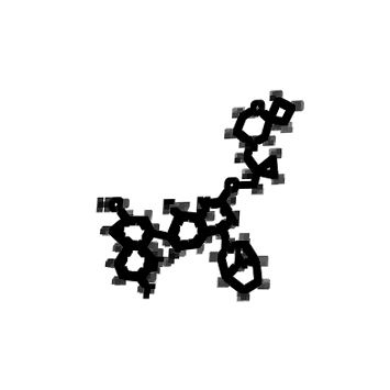 Oc1cc(-c2c(F)cc3c(N4CC5CCC(C4)N5)nc(OCC4(CN5CCOC6(CCC6)C5)CC4)nc3c2F)c2c(F)c(F)ccc2c1